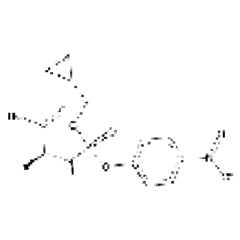 C[C@H](NP(=O)(OCC1CC1)Oc1ccc([N+](=O)[O-])cc1)C(=O)O